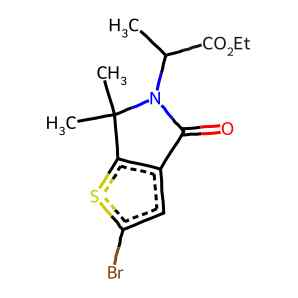 CCOC(=O)C(C)N1C(=O)c2cc(Br)sc2C1(C)C